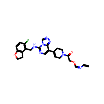 C=C/N=C\OCC(=O)N1CC=C(c2cnc(NCc3c(F)ccc4c3CCO4)n3cnnc23)CC1